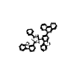 C1=CC2=c3ccccc3=CC(c3cc(-c4nc(-c5ccccc5)nc(-c5cccc6c5oc5ccccc56)n4)c4c(c3)oc3ccccc34)C2C=C1